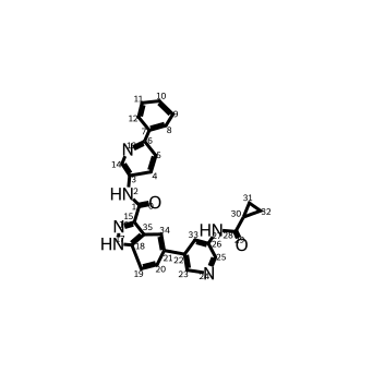 O=C(Nc1ccc(-c2ccccc2)nc1)c1n[nH]c2ccc(-c3cncc(NC(=O)C4CC4)c3)cc12